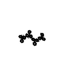 C1#CC[C@@H](N2C3=C(C[C@H](C4=CC=C5C(C4)C4C=C(C6CC=C7[C@H](C6)C6CC(C8=CCC9[C@@H](C8)C8C=CCCC8N9C8CCCCC8)CCC6N7C6C=CCCC6)CCC4N5C4CCCCC4)CC3)C3=CCCCC32)CC1